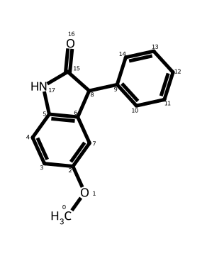 COc1ccc2c(c1)C(c1ccccc1)C(=O)N2